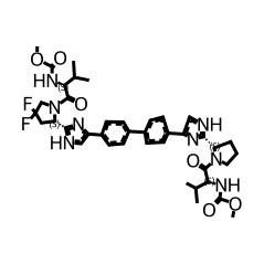 COC(=O)N[C@H](C(=O)N1CCC[C@H]1c1nc(-c2ccc(-c3ccc(-c4c[nH]c([C@@H]5CC(F)(F)CN5C(=O)[C@@H](NC(=O)OC)C(C)C)n4)cc3)cc2)c[nH]1)C(C)C